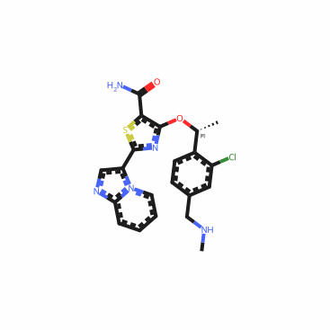 CNCc1ccc([C@@H](C)Oc2nc(-c3cnc4ccccn34)sc2C(N)=O)c(Cl)c1